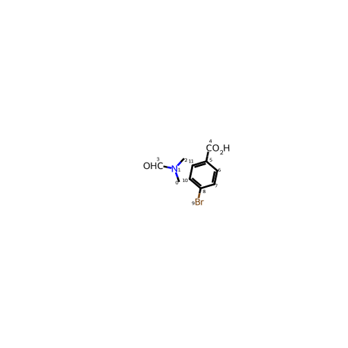 CN(C)C=O.O=C(O)c1ccc(Br)cc1